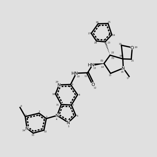 Cc1cc(-n2ncc3cc(NC(=O)N[C@@H]4CN(C)C5(COC5)[C@H]4c4ccccc4)ncc32)ccn1